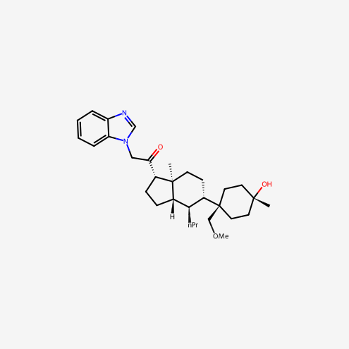 CCC[C@H]1[C@@H]2CC[C@H](C(=O)Cn3cnc4ccccc43)[C@@]2(C)CC[C@@H]1[C@]1(COC)CC[C@](C)(O)CC1